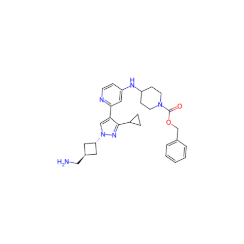 NC[C@H]1C[C@H](n2cc(-c3cc(NC4CCN(C(=O)OCc5ccccc5)CC4)ccn3)c(C3CC3)n2)C1